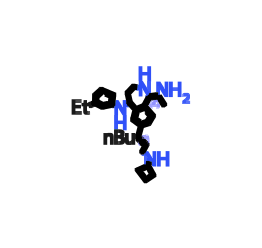 CCCC/C(=C\CNC1CCC1)c1ccc2c(c1)C(Nc1cccc(CC)c1)CCN/C2=C(/C)N